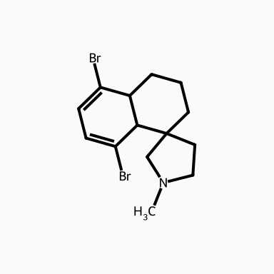 CN1CCC2(CCCC3C(Br)=CC=C(Br)C32)C1